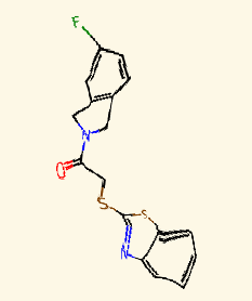 O=C(CSc1nc2ccccc2s1)N1Cc2ccc(F)cc2C1